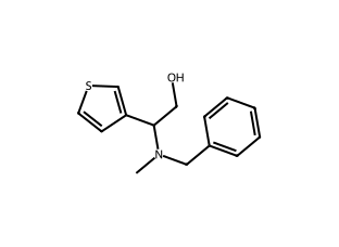 CN(Cc1ccccc1)C(CO)c1ccsc1